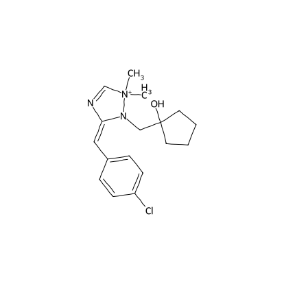 C[N+]1(C)C=NC(=Cc2ccc(Cl)cc2)N1CC1(O)CCCC1